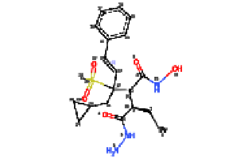 CC(C)C[C@@H](C(=O)NN)[C@@H](C(=O)NO)C(/C=C/c1ccccc1)(CC1CC1)S(C)(=O)=O